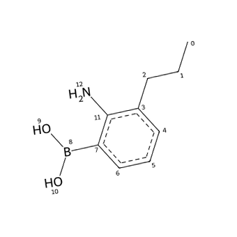 CCCc1cccc(B(O)O)c1N